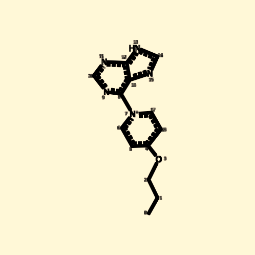 CCCOc1cc[n+](-c2ncnc3[nH]cnc23)cc1